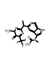 CC(C1=NC(N)C(=S)C(C(F)(F)F)=N1)c1cc2c(N(C)C(=O)O)c[nH]c2cn1